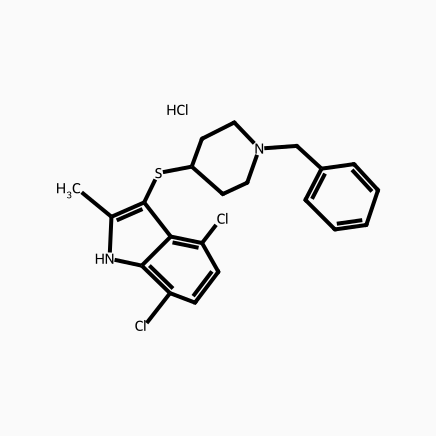 Cc1[nH]c2c(Cl)ccc(Cl)c2c1SC1CCN(Cc2ccccc2)CC1.Cl